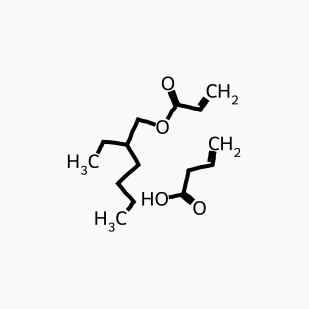 C=CC(=O)OCC(CC)CCCC.C=CCC(=O)O